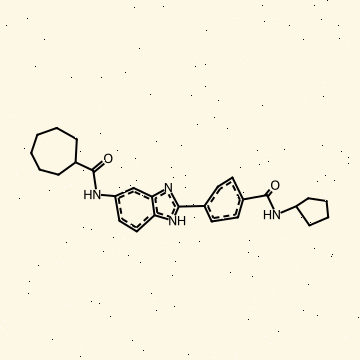 O=C(NC1CCCC1)c1ccc(-c2nc3cc(NC(=O)C4CCCCCC4)ccc3[nH]2)cc1